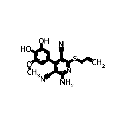 C=CCSc1nc(N)c(C#N)c(-c2cc(O)c(O)c(OC)c2)c1C#N